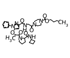 CCCCOC(=O)N1CCN(C(=O)CNC(=O)c2cc(O[C@H](C)C(=O)N3CCCC3C(=O)NC3CCC3)n(-c3ccccc3)n2)CC1